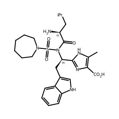 Cc1[nH]c([C@@H](Cc2c[nH]c3ccccc23)N(C(=O)[C@@H](N)CC(C)C)S(=O)(=O)N2CCCCCC2)nc1C(=O)O